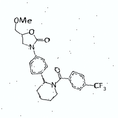 COCC1CN(c2ccc(C3CCCCN3C(=O)c3ccc(C(F)(F)F)cc3)cc2)C(=O)O1